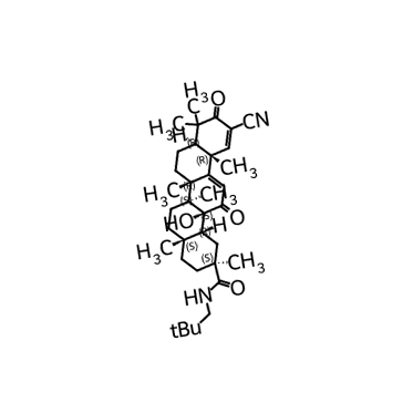 CC(C)(C)CNC(=O)[C@@]1(C)CC[C@]2(C)CC[C@@]3(C)[C@]4(C)CC[C@H]5C(C)(C)C(=O)C(C#N)=C[C@]5(C)C4=CC(=O)[C@]3(O)[C@@H]2C1